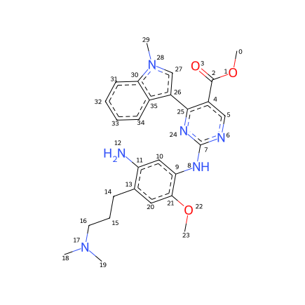 COC(=O)c1cnc(Nc2cc(N)c(CCCN(C)C)cc2OC)nc1-c1cn(C)c2ccccc12